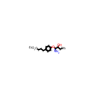 CCOC(=O)CCCc1ccc(OC(N)C(O)CC(C)C)cc1